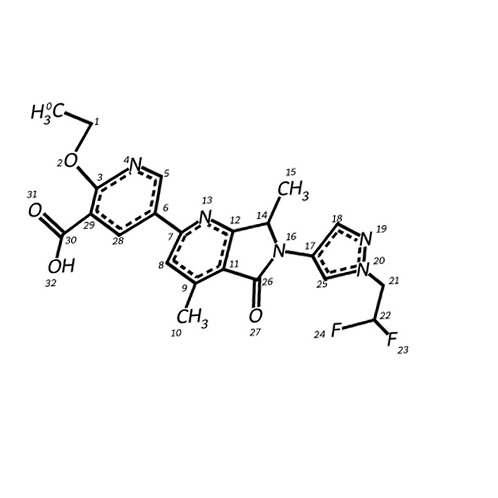 CCOc1ncc(-c2cc(C)c3c(n2)C(C)N(c2cnn(CC(F)F)c2)C3=O)cc1C(=O)O